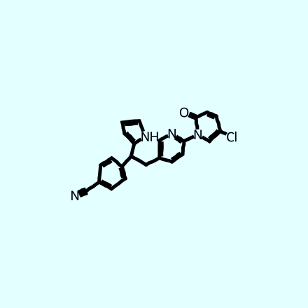 N#Cc1ccc(C(Cc2ccc(-n3cc(Cl)ccc3=O)nc2)c2ccc[nH]2)cc1